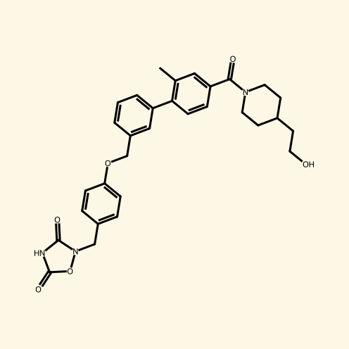 Cc1cc(C(=O)N2CCC(CCO)CC2)ccc1-c1cccc(COc2ccc(Cn3oc(=O)[nH]c3=O)cc2)c1